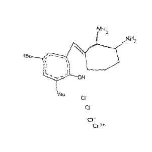 CC(C)(C)c1cc(C=C2CCCC(N)C2N)c(O)c(C(C)(C)C)c1.[Cl-].[Cl-].[Cl-].[Cr+3]